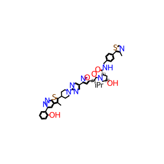 Cc1ncsc1-c1ccc(CNC(=O)[C@@H]2C[C@@H](O)CN2C(=O)[C@@H](c2cc(-c3cnc(N4CCC(c5sc6nnc(-c7ccccc7O)cc6c5C)CC4)nc3)no2)C(C)C)cc1